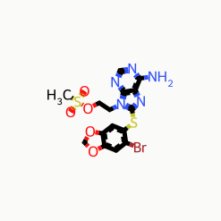 CS(=O)(=O)OCCn1c(Sc2cc3c(cc2Br)OCO3)nc2c(N)ncnc21